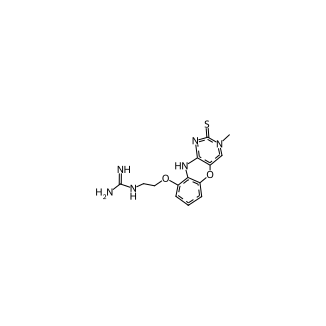 Cn1cc2c(nc1=S)Nc1c(OCCNC(=N)N)cccc1O2